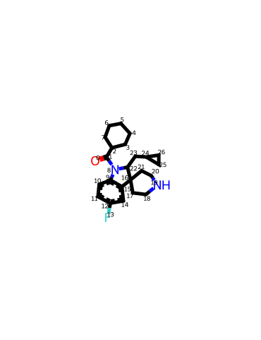 O=C(C1CCCCC1)N1c2ccc(F)cc2C2(CCNCC2)C1CC1CC1